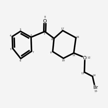 O=C(c1ccccc1)C1CCC(OCCBr)CC1